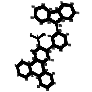 CC(C)c1nc2c3ccccc3c3ccccc3c2nc1-c1cccc(-n2c3ccccc3c3ccccc32)c1